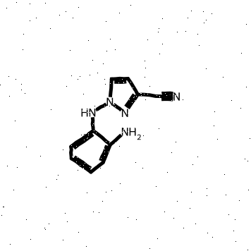 N#Cc1ccn(Nc2ccccc2N)n1